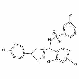 O=S(=O)(NC(C1=NNC(c2ccc(Cl)cc2)C1)c1ccc(Cl)cc1Cl)c1cccc(Br)c1